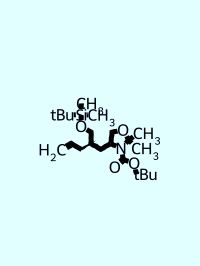 C=CC[C@@H](CO[Si](C)(C)C(C)(C)C)CC1COC(C)(C)N1C(=O)OC(C)(C)C